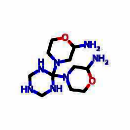 NC1CN(C2(N3CCOC(N)C3)NCNCN2)CCO1